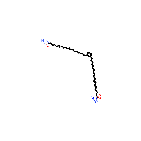 NC(=O)CCCCCCCCCCCCCCCCCCc1cccc(CCCCCCCCCCCCCCCCCCC(N)=O)c1